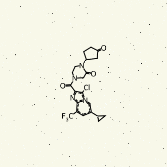 O=C1CCC(N2CCN(C(=O)c3nc4c(C(F)(F)F)cc(C5CC5)cn4c3Cl)CC2=O)C1